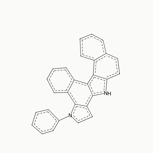 c1ccc(-n2ccc3c4[nH]c5ccc6ccccc6c5c4c4ccccc4c32)cc1